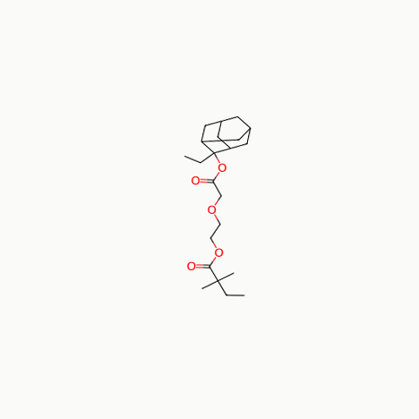 CCC(C)(C)C(=O)OCCOCC(=O)OC1(CC)C2CC3CC(C2)CC1C3